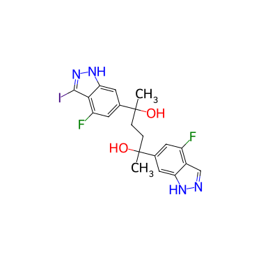 CC(O)(CCC(C)(O)c1cc(F)c2c(I)n[nH]c2c1)c1cc(F)c2cn[nH]c2c1